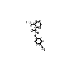 N#Cc1ccc(CNC(=O)c2ncccc2CO)cc1